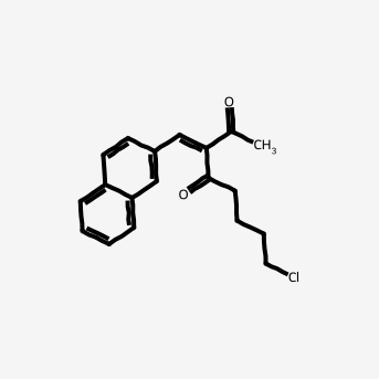 CC(=O)C(=Cc1ccc2ccccc2c1)C(=O)CCCCCl